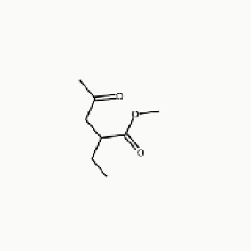 CCC(CC(C)=O)C(=O)OC